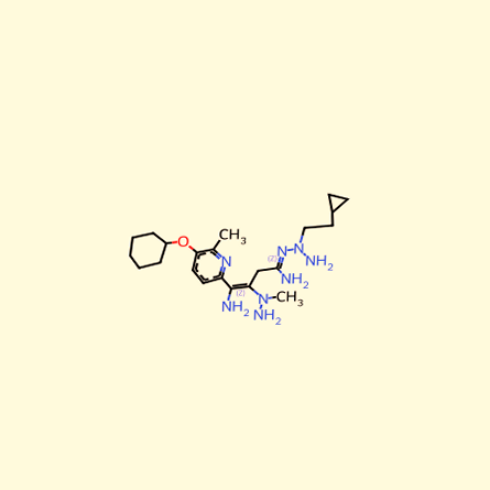 Cc1nc(/C(N)=C(\C/C(N)=N/N(N)CCC2CC2)N(C)N)ccc1OC1CCCCC1